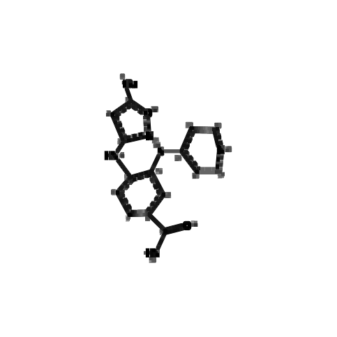 CC(C)(C)c1cc(Nc2ccc(C([NH])=O)cc2Sc2ccncc2)no1